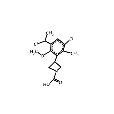 COc1c(C(C)Cl)cc(Cl)c(C)c1C1CN(C(=O)O)C1